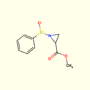 COC(=O)C1CN1[S+]([O-])c1ccccc1